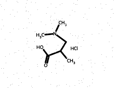 CC(CN(C)C)C(=O)O.Cl